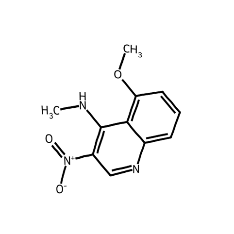 CNc1c([N+](=O)[O-])cnc2cccc(OC)c12